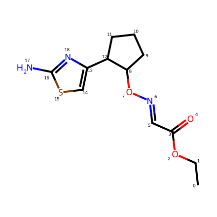 CCOC(=O)C=NOC1CCCC1c1csc(N)n1